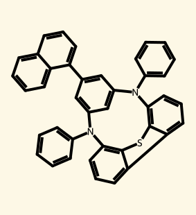 c1ccc(N2c3cc(-c4cccc5ccccc45)cc(c3)N(c3ccccc3)c3cccc4c3sc3c2cccc34)cc1